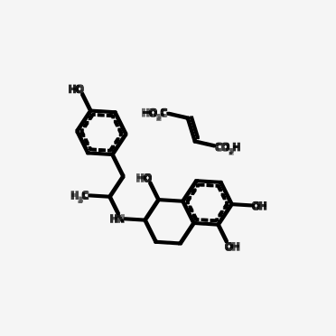 CC(Cc1ccc(O)cc1)NC1CCc2c(ccc(O)c2O)C1O.O=C(O)C=CC(=O)O